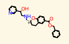 O=C(OCc1ccccc1)c1ccc2c(c1)CC[C@H](CNCC(O)c1cccnc1)O2